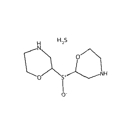 S.[O-][S+](C1CNCCO1)C1CNCCO1